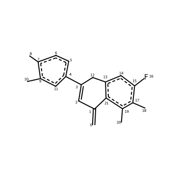 C=C1C=C(c2ccc(C)c(C)c2)Cc2cc(F)c(C)c(C)c21